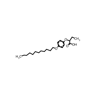 CCCCCCCCCCCCOc1ccc(OC(CC)C(=O)O)cc1